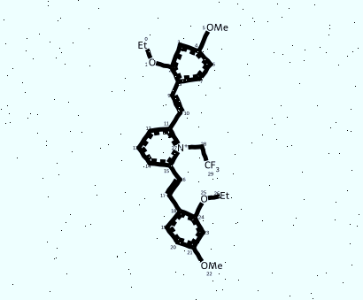 CCOc1cc(OC)ccc1/C=C/c1cccc(/C=C/c2ccc(OC)cc2OCC)[n+]1CC(F)(F)F